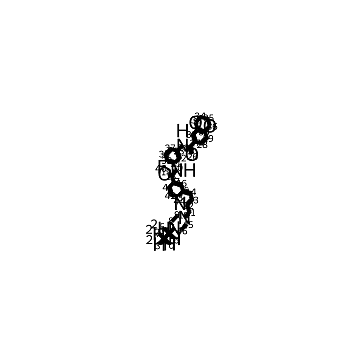 [2H]C([2H])([2H])C([2H])([2H])N1CCN(Cc2ccc3cc(C(=O)Nc4cc(NC(=O)c5ccc6c(c5)OCCO6)ccc4F)ccc3n2)CC1